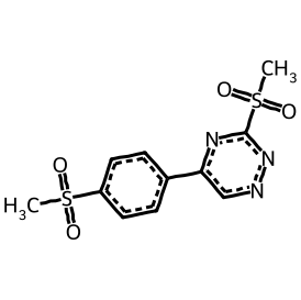 CS(=O)(=O)c1ccc(-c2cnnc(S(C)(=O)=O)n2)cc1